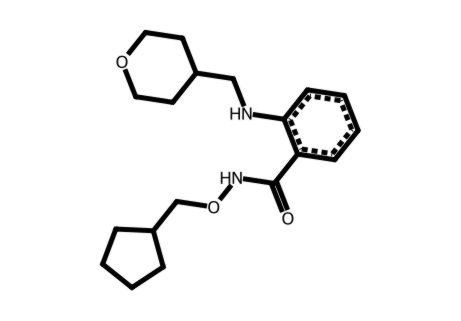 O=C(NOCC1CCCC1)c1ccccc1NCC1CCOCC1